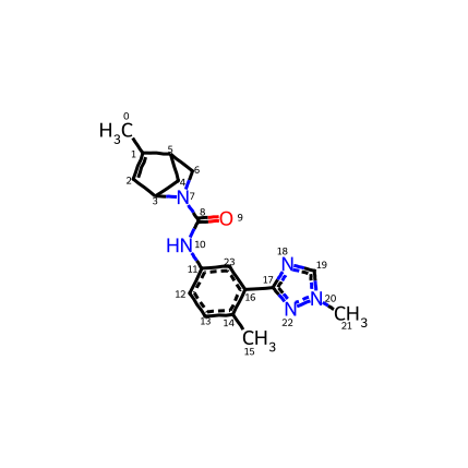 CC1=CC2CC1CN2C(=O)Nc1ccc(C)c(-c2ncn(C)n2)c1